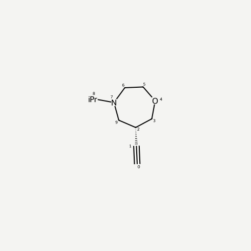 C#C[C@H]1COCCN(C(C)C)C1